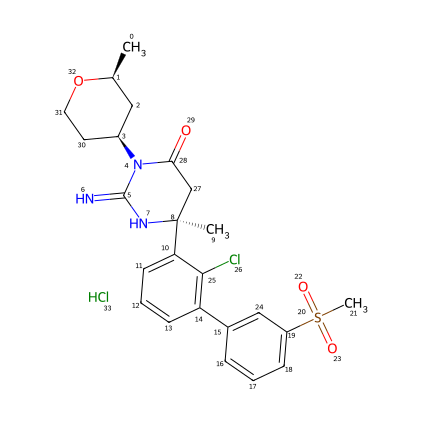 C[C@H]1C[C@@H](N2C(=N)N[C@](C)(c3cccc(-c4cccc(S(C)(=O)=O)c4)c3Cl)CC2=O)CCO1.Cl